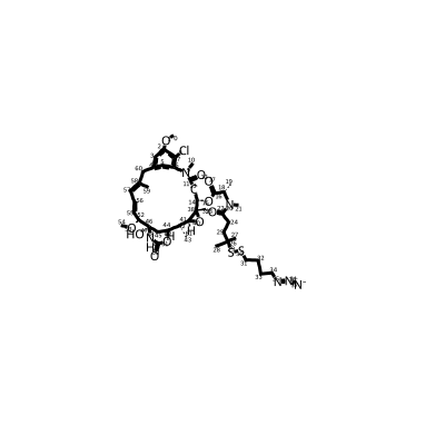 COc1cc2cc(c1Cl)N(C)C(=O)C[C@H](OC(=O)[C@H](C)N(C)C(=O)CCC(C)(C)SSCCCCN=[N+]=[N-])[C@]1(C)O[C@H]1[C@H](C)[C@@H]1C[C@@](O)(NC(=O)O1)[C@H](OC)/C=C/C=C(\C)C2